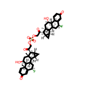 C[C@]12C[C@H](O)[C@H]3[C@@H](C[C@H](F)C4=CC(=O)C=C[C@@]43C)[C@@H]1[C@H]1C[C@H]1[C@@H]2C(=O)COS(=O)(=O)OCC(=O)[C@H]1[C@@H]2C[C@@H]2[C@H]2[C@@H]3C[C@H](F)C4=CC(=O)C=C[C@]4(C)[C@H]3[C@@H](O)C[C@@]21C